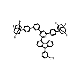 N#Cc1cccc(-n2c3ccccc3c3c(-c4nc(-c5ccc(C67C[C@H]8C[C@H](C6)C[C@@H](C7)C8)cc5)nc(-c5cccc(-c6ccc(C78C[C@H]9C[C@H](C7)C[C@@H](C8)C9)cc6)c5)n4)cccc32)c1